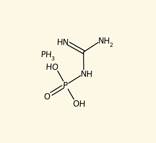 N=C(N)NP(=O)(O)O.P